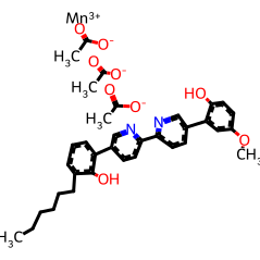 CC(=O)[O-].CC(=O)[O-].CC(=O)[O-].CCCCCCc1cccc(-c2ccc(-c3ccc(-c4cc(OC)ccc4O)cn3)nc2)c1O.[Mn+3]